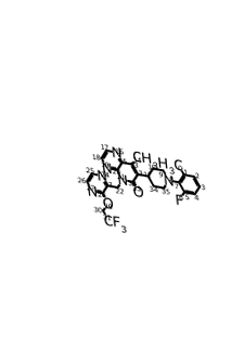 Cc1cccc(F)c1N1CCC(c2c(C)c3nccnc3n(Cc3nccnc3OCC(F)(F)F)c2=O)CC1